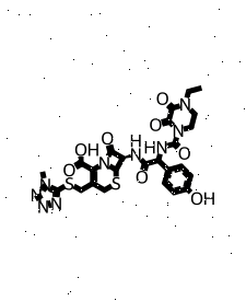 CCN1CCN(C(=O)NC(C(=O)N[C@@H]2C(=O)N3C(C(=O)O)=C(CSc4nnnn4C)CSC23)c2ccc(O)cc2)C(=O)C1=O